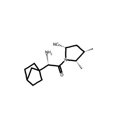 C[C@H]1C[C@@H](C#N)N(C(=O)[C@@H](N)C23CCC(CC2)C3)[C@H]1C